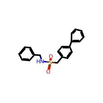 O=S(=O)(Cc1ccc(-c2ccccc2)cc1)NCc1ccccc1